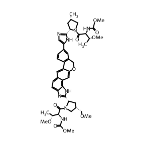 COC[C@H]1C[C@@H](c2nc3ccc4cc5c(cc4c3[nH]2)OCc2cc(-c3cnc([C@@H]4C[C@H](C)CN4C(=O)[C@@H](NC(=O)OC)[C@@H](C)OC)[nH]3)ccc2-5)N(C(=O)[C@@H](NC(=O)OC)[C@@H](C)OC)C1